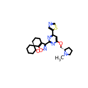 CN1CCC[C@H]1COc1cc(-c2cncs2)nc(-c2noc3c2CCC[C@@]32CCCCC2=O)n1